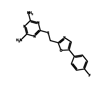 Nc1nc(N)nc(SCc2ncc(-c3ccc(F)cc3)o2)n1